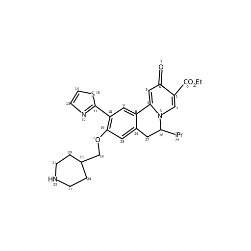 CCOC(=O)c1cn2c(cc1=O)-c1cc(-c3nccs3)c(OCC3CCNCC3)cc1CC2C(C)C